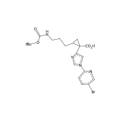 CC(C)(C)OC(=O)NCCCC1CC1(C(=O)O)c1cn(-c2ccc(Br)cn2)cn1